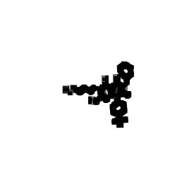 CC(C)(C)C1CCC(NC(=O)[C@H](CC2CCCCC2)NC(=O)N[C@@H](CCCCN)C(=O)O)CC1